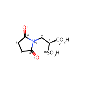 O=C(O)[C@H](CN1C(=O)CCC1=O)S(=O)(=O)O